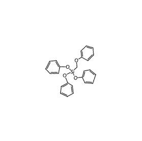 c1ccc(OC[Si](Oc2ccccc2)(Oc2ccccc2)Oc2ccccc2)cc1